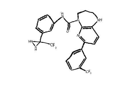 O=C(Nc1cccc(C2(C(F)(F)F)NN2)c1)N1CCCNc2ccc(-c3cccc(C(F)(F)F)c3)nc21